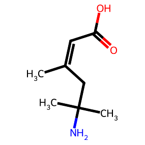 CC(=CC(=O)O)CC(C)(C)N